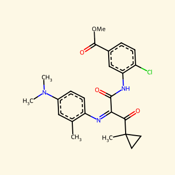 COC(=O)c1ccc(Cl)c(NC(=O)/C(=N\c2ccc(N(C)C)cc2C)C(=O)C2(C)CC2)c1